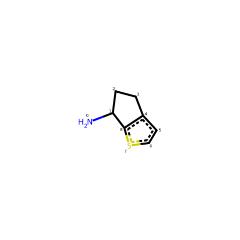 NC1CCc2ccsc21